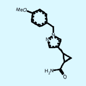 COc1ccc(Cn2cc(C3CC3C(N)=O)cn2)cc1